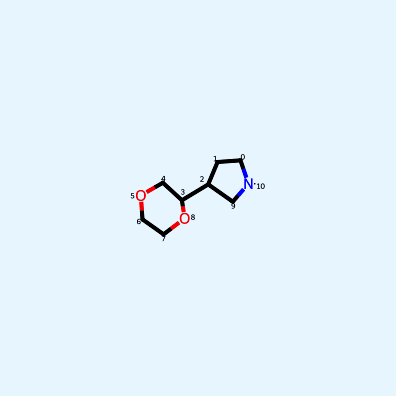 C1CC(C2COCCO2)C[N]1